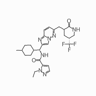 CCn1nccc1C(=O)N[C@H](c1cn2nc(CC3C[C@@H](C(F)(F)F)CNC3=O)ccc2n1)C1CCC(C)CC1